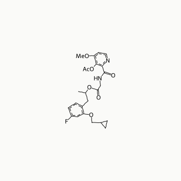 COc1ccnc(C(=O)NCC(=O)OC(C)Cc2ccc(F)cc2OCC2CC2)c1OC(C)=O